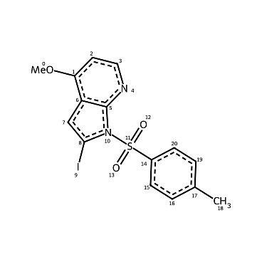 COc1ccnc2c1cc(I)n2S(=O)(=O)c1ccc(C)cc1